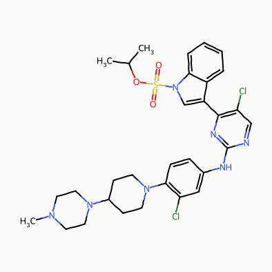 CC(C)OS(=O)(=O)n1cc(-c2nc(Nc3ccc(N4CCC(N5CCN(C)CC5)CC4)c(Cl)c3)ncc2Cl)c2ccccc21